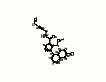 COCc1c(C(=O)NCC#CCCl)cnn1-c1ccnc2cc(Cl)ccc12